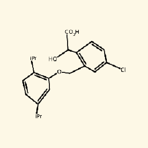 CC(C)c1ccc(C(C)C)c(OCc2cc(Cl)ccc2C(O)C(=O)O)c1